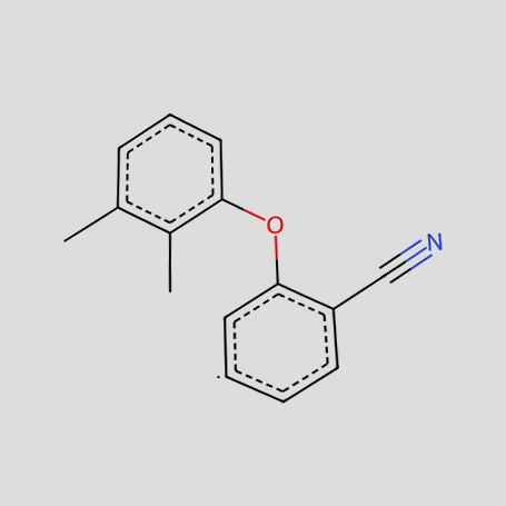 Cc1cccc(Oc2c[c]ccc2C#N)c1C